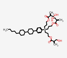 C=C(CO)C(=O)OCCC[Si](CCCOC(=O)C(=C)CO)(CCCOC(=O)C(=C)CO)c1ccc(C2CCC(C3CCC(CCCCC)CC3)CC2)cc1